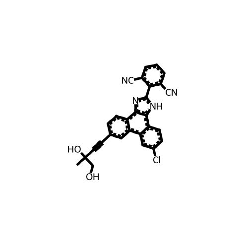 CC(O)(C#Cc1ccc2c(c1)c1cc(Cl)ccc1c1[nH]c(-c3c(C#N)cccc3C#N)nc21)CO